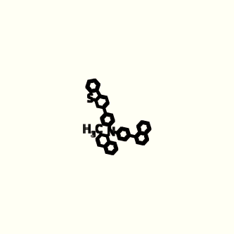 CC1C=Cc2ccccc2C1N(c1ccc(C2=CC=C3c4ccccc4SC3C2)cc1)c1ccc(-c2cccc3ccccc23)cc1